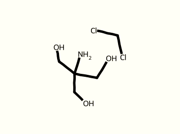 ClCCl.NC(CO)(CO)CO